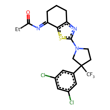 CCC(=O)/N=C1\CCCc2nc(N3CCC(c4cc(Cl)cc(Cl)c4)(C(F)(F)F)C3)sc21